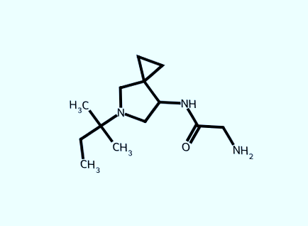 CCC(C)(C)N1CC(NC(=O)CN)C2(CC2)C1